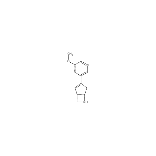 COc1cncc(C2=CC3CNC3C2)c1